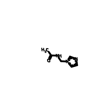 CC(=O)NCn1ccnc1